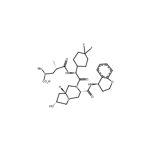 C[C@@H](CN(C(=O)O)C(C)(C)C)C(=O)N[C@H](C(=O)N1C[C@H]2C[C@@H](O)CN2C[C@H]1C(=O)N[C@@H]1CCOc2ccccc21)C1CCC(F)(F)CC1